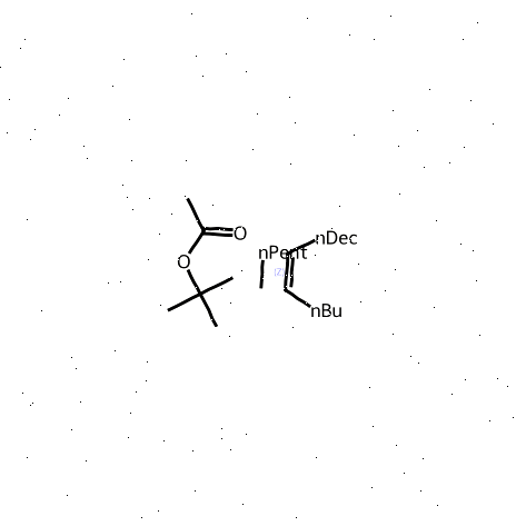 CC(=O)OC(C)(C)C.CCCC/C=C\CCCCCCCCCC.CCCCCC